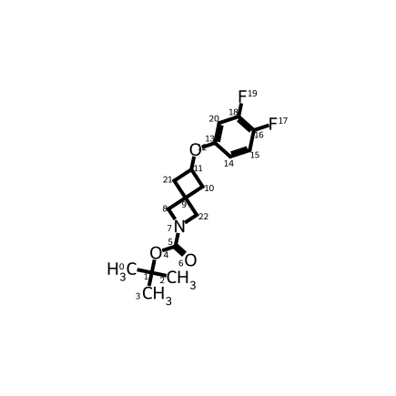 CC(C)(C)OC(=O)N1CC2(CC(Oc3ccc(F)c(F)c3)C2)C1